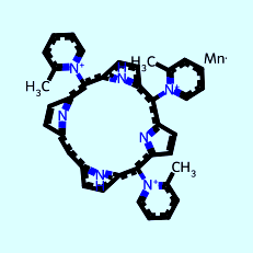 Cc1cccc[n+]1-c1c2nc(c(-[n+]3ccccc3C)c3ccc([nH]3)c(-[n+]3ccccc3C)c3nc(cc4ccc1[nH]4)C=C3)C=C2.[Mn]